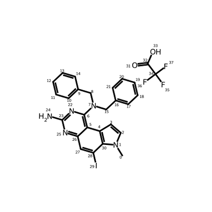 Cn1ccc2c3c(N(Cc4ccccc4)Cc4ccccc4)nc(N)nc3cc(I)c21.O=C(O)C(F)(F)F